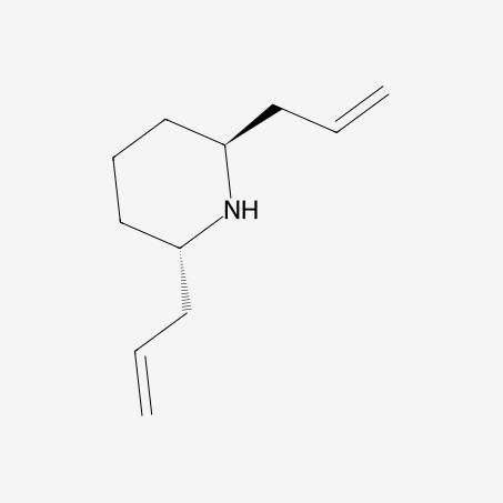 C=CC[C@@H]1CCC[C@@H](CC=C)N1